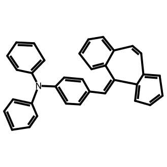 C1=Cc2ccccc2C(=Cc2ccc(N(c3ccccc3)c3ccccc3)cc2)c2ccccc21